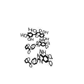 COc1cc2nc(N3CCN(C(=O)C4CCCO4)CC3)nc(N)c2cc1OC.COc1cc2nc(N3CCN(C(=O)c4ccco4)CC3)nc(N)c2cc1OC.O=c1c(O)c(-c2ccc(O)c(O)c2)oc2cc(O)cc(O)c12